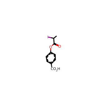 CC(I)C(=O)Oc1ccc(C(=O)O)cc1